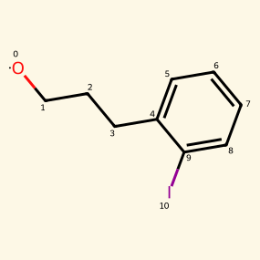 [O]CCCc1ccccc1I